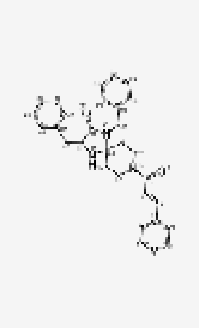 O=C(/C=C/c1ccccc1)N1CCC2(CC1)NC(Cc1ccccc1)C(=O)N2Cc1ccccc1